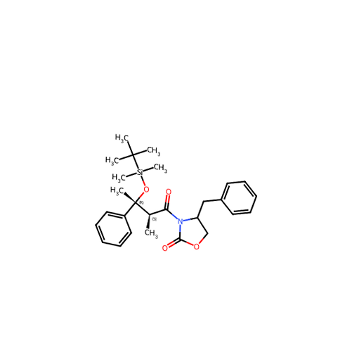 C[C@H](C(=O)N1C(=O)OCC1Cc1ccccc1)[C@@](C)(O[Si](C)(C)C(C)(C)C)c1ccccc1